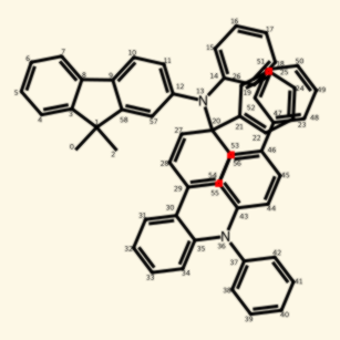 CC1(C)c2ccccc2-c2ccc(N(c3ccccc3)C3(c4ccccc4)C=CC(c4ccccc4N(c4ccccc4)c4ccc(-c5ccccc5)cc4)=CC3)cc21